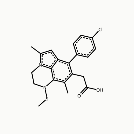 CSN1CCn2c(C)cc3c(-c4ccc(Cl)cc4)c(CC(=O)O)c(C)c1c32